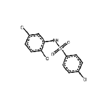 O=S(=O)(Nc1cc(Cl)ccc1Cl)c1ccc(Cl)cc1